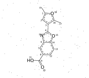 Cc1cc(-c2nc3cc(C(=O)O)ccc3o2)c(C)o1